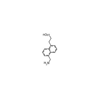 CCCCCCCCCCc1cccc2c(CN)cccc12